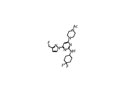 CC(=O)N1CCN(c2cc(-n3ccc(CF)n3)nc(NC3CCC(F)(F)CC3)n2)CC1